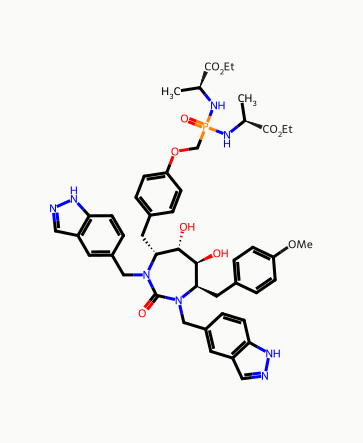 CCOC(=O)[C@H](C)NP(=O)(COc1ccc(C[C@@H]2[C@H](O)[C@@H](O)[C@@H](Cc3ccc(OC)cc3)N(Cc3ccc4[nH]ncc4c3)C(=O)N2Cc2ccc3[nH]ncc3c2)cc1)N[C@@H](C)C(=O)OCC